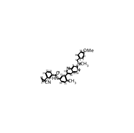 COc1ccc(CN(C)c2cc3ncc(-c4cc(NC(=O)c5cccc(C6(C#N)CC6)c5)ccc4C)cc3cn2)cc1